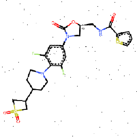 O=C(NC[C@H]1CN(c2cc(F)c(N3CCC(C4CS(=O)(=O)C4)CC3)c(F)c2)C(=O)O1)c1cccs1